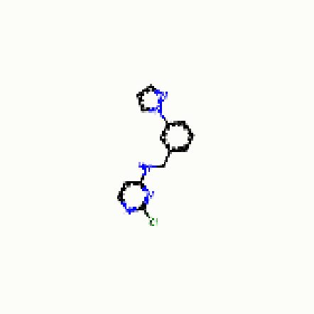 Clc1nccc(NCc2cccc(-n3cccn3)c2)n1